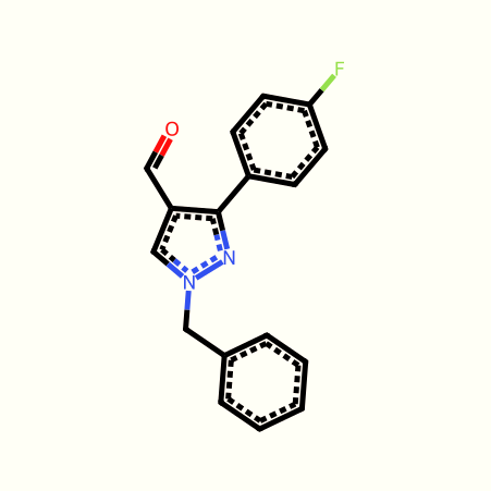 O=Cc1cn(Cc2ccccc2)nc1-c1ccc(F)cc1